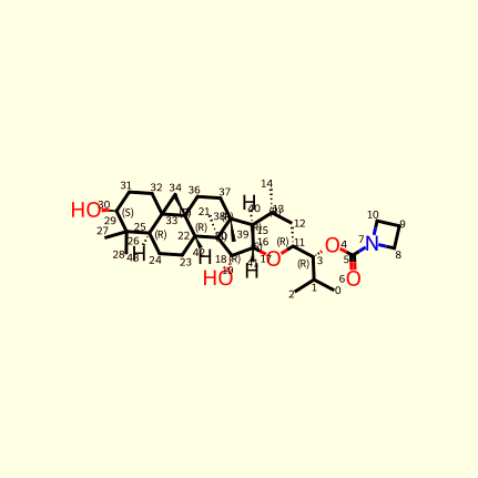 CC(C)[C@@H](OC(=O)N1CCC1)[C@H]1C[C@@H](C)[C@H]2[C@H](O1)[C@H](O)[C@@]1(C)[C@@H]3CC[C@H]4C(C)(C)[C@@H](O)CCC45C[C@@]35CC[C@]21C